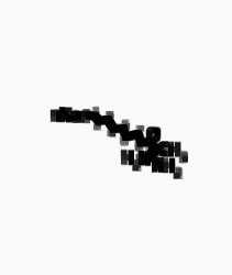 CCCCCCCCCCCCCCCCCC(=O)C(C)=C(N)N